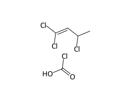 CC(Cl)C=C(Cl)Cl.O=C(O)Cl